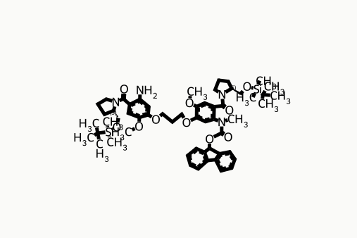 COc1cc(C(=O)N2CCC[C@H]2CO[Si](C)(C)C(C)(C)C)c(N)cc1OCCCOc1cc(N(C)C(=O)OC2c3ccccc3-c3ccccc32)c(C(=O)N2CCC[C@H]2CO[Si](C)(C)C(C)(C)C)cc1OC